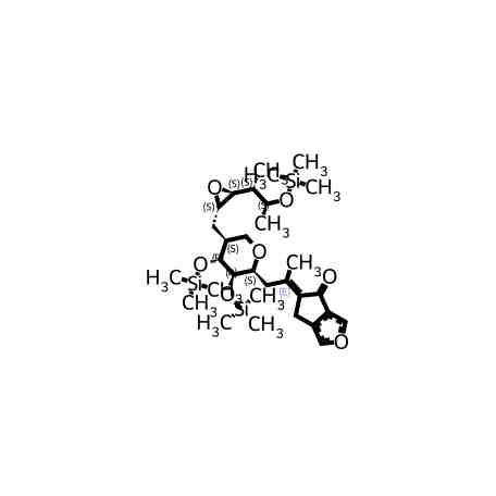 C/C(C[C@@H]1OC[C@H](C[C@@H]2O[C@H]2[C@H](C)[C@H](C)O[Si](C)(C)C)[C@@H](O[Si](C)(C)C)[C@@H]1O[Si](C)(C)C)=C1/Cc2cocc2C1=O